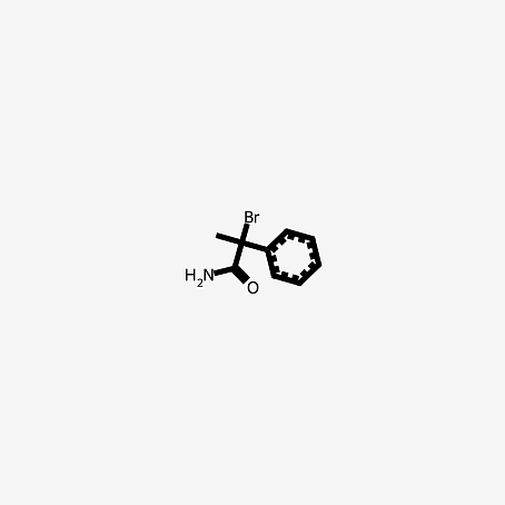 CC(Br)(C(N)=O)c1ccccc1